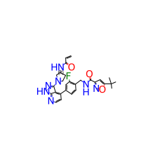 C=CC(=O)N[C@@H]1CCN(c2n[nH]c3nccc(-c4ccc(CNC(=O)c5cc(C(C)(C)C)on5)c(F)c4)c23)C1